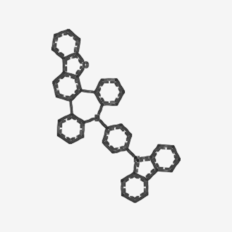 c1ccc2c(c1)B(c1ccc(-n3c4ccccc4c4ccccc43)cc1)c1ccccc1-c1c-2ccc2c1oc1ccccc12